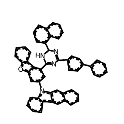 c1ccc(-c2ccc(C3=NC(c4cccc5ccccc45)NC(c4cc(-n5c6ccccc6c6cc7ccccc7cc65)cc5oc6ccccc6c45)=N3)cc2)cc1